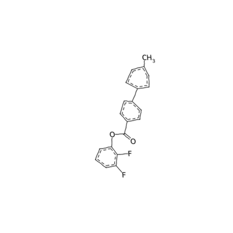 Cc1ccc(-c2ccc(C(=O)Oc3cccc(F)c3F)cc2)cc1